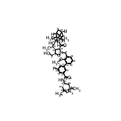 COc1c(CN2O[C@@H](CO)[C@@H]([C@H](C)O)[C@H]2C(=O)N[C@H]2C[C@H]3C[C@@H]([C@@H]2C)C3(C)C)cccc1-c1cc(F)cc(C(=O)N[C@@H](CC(C)C)CN(C)C)c1